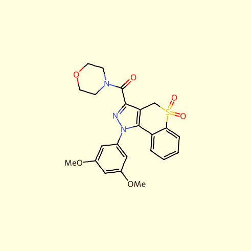 COc1cc(OC)cc(-n2nc(C(=O)N3CCOCC3)c3c2-c2ccccc2S(=O)(=O)C3)c1